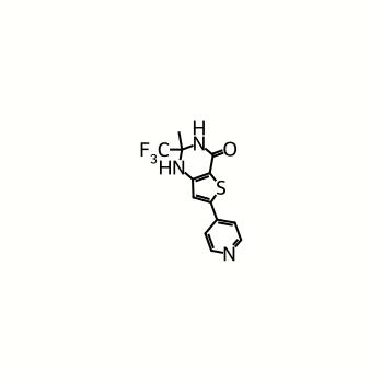 CC1(C(F)(F)F)NC(=O)c2sc(-c3ccncc3)cc2N1